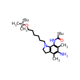 Cc1c(N)c(C)c(NC(=O)C(C)(C)C)c2c1CCN2CCCCCCO[Si](C)(C)C(C)(C)C